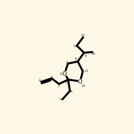 C=CCC1(CC)OCC(C(C)CC)CO1